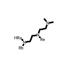 CN(C)CC[N]([Re])CC[N]([Rb])[RaH]